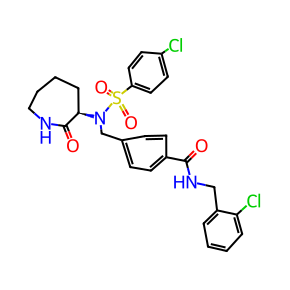 O=C(NCc1ccccc1Cl)c1ccc(CN([C@@H]2CCCCNC2=O)S(=O)(=O)c2ccc(Cl)cc2)cc1